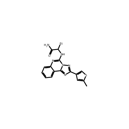 CCC(Nc1nc2ccccc2c2nc(-c3csc(C)c3)nn12)C(N)=O